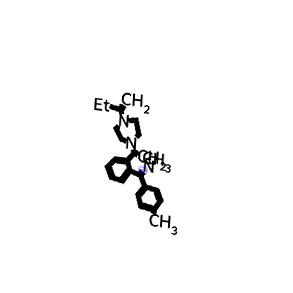 C=C(CC)N1CCN(C(=C)c2ccccc2/C(=N\C)c2ccc(C)cc2)CC1